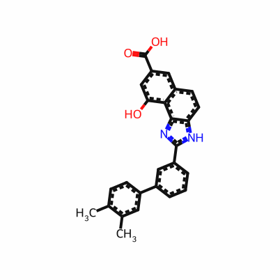 Cc1ccc(-c2cccc(-c3nc4c(ccc5cc(C(=O)O)cc(O)c54)[nH]3)c2)cc1C